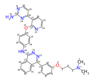 CN(C)CCCOc1cccc(-c2nnc(Nc3ccc(Oc4ncccc4-c4ccnc(N)n4)cc3)c3ccccc23)c1